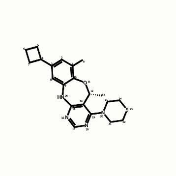 Cc1cc(C2CCC2)cc2c1O[C@H](C)c1c(ncnc1N1CCSCC1)N2